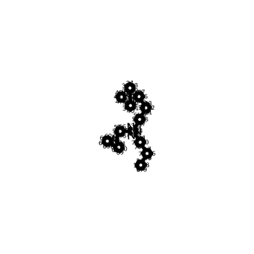 c1ccc(-c2cccc(-c3ccc(-c4nc(-c5ccc(-c6cccc(-c7cccc([Si](c8ccccc8)(c8ccccc8)c8ccccc8)c7)c6)cc5)nc(-c5cccc(-n6c7ccccc7c7ccccc76)c5)n4)cc3)c2)cc1